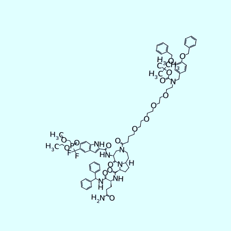 CCOP(=O)(COC)C(F)(F)c1ccc2[nH]c(C(=O)N[C@H]3CN(C(=O)CCCOCCOCCOCCOCCN(Cc4ccc(OCc5ccccc5)c(OCc5ccccc5)c4)C(=O)OC(C)(C)C)CC[C@H]4CC[C@@H](C(=O)N[C@@H](CCC(N)=O)C(=O)NC(c5ccccc5)c5ccccc5)N4C3=O)cc2c1